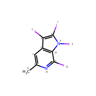 Cc1cc2c(I)c(I)n(I)c2c(I)n1